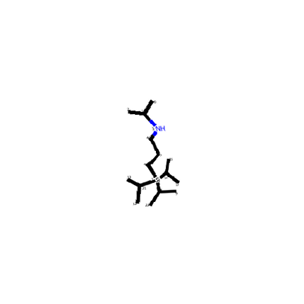 CC(C)NCCC[Si](C(C)C)(C(C)C)C(C)C